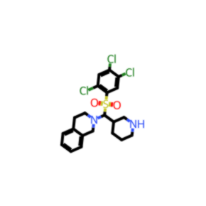 O=S(=O)(c1cc(Cl)c(Cl)cc1Cl)C(C1CCCNC1)N1CCc2ccccc2C1